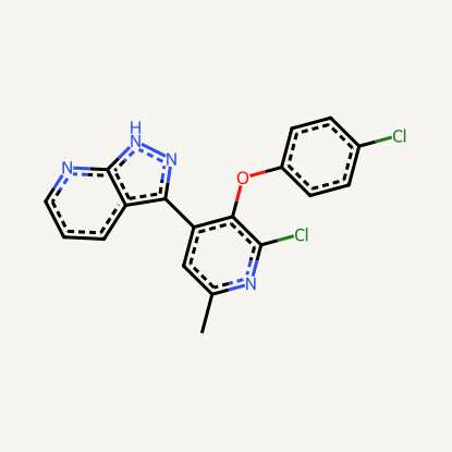 Cc1cc(-c2n[nH]c3ncccc23)c(Oc2ccc(Cl)cc2)c(Cl)n1